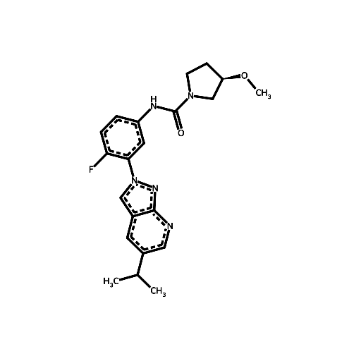 CO[C@@H]1CCN(C(=O)Nc2ccc(F)c(-n3cc4cc(C(C)C)cnc4n3)c2)C1